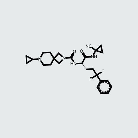 N#CC1(NC(=O)[C@H](CCC(F)(F)c2ccccc2)NC(=O)N2CC3(CCN(C4CC4)CC3)C2)CC1